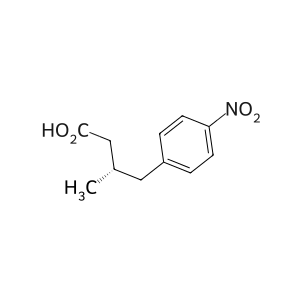 C[C@H](CC(=O)O)Cc1ccc([N+](=O)[O-])cc1